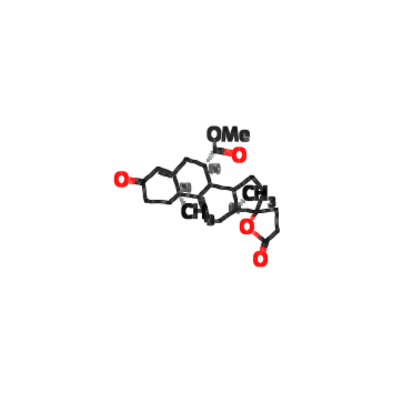 COC(=O)[C@H]1CC2=CC(=O)CC[C@]2(C)C2=CC[C@@]3(C)C(CCC34CCC(=O)O4)C21